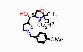 COc1ccc(CN2CCC(C(O)[C@H]3COC(C)(C)N3C(=O)O)S2)cc1